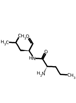 CCC[C@H](N)C(=O)N[C@H](C=O)CC(C)C